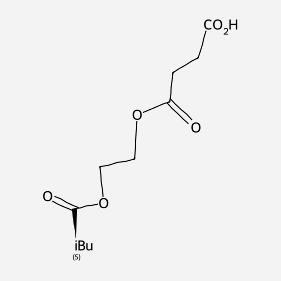 CC[C@H](C)C(=O)OCCOC(=O)CCC(=O)O